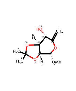 C=C1O[C@H](OC)[C@H]2OC(C)(C)O[C@H]2[C@@H]1O